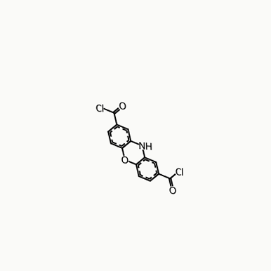 O=C(Cl)c1ccc2c(c1)Nc1cc(C(=O)Cl)ccc1O2